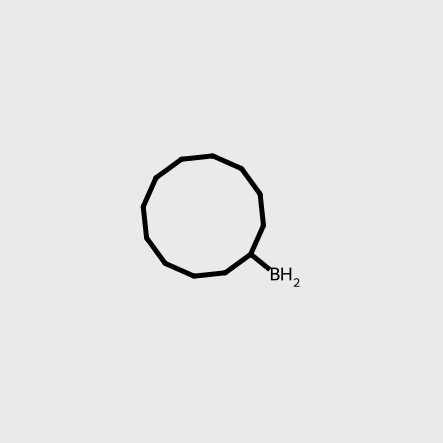 BC1CCCCCCCCCCC1